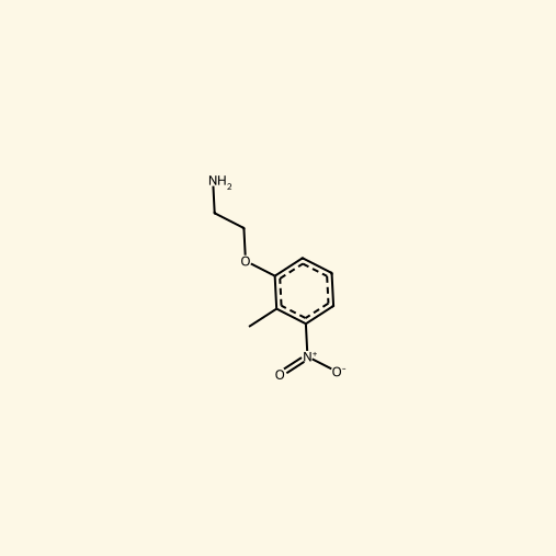 Cc1c(OCCN)cccc1[N+](=O)[O-]